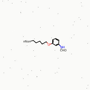 CCCCCCCCCCCCCCOc1cccc(NC=O)c1